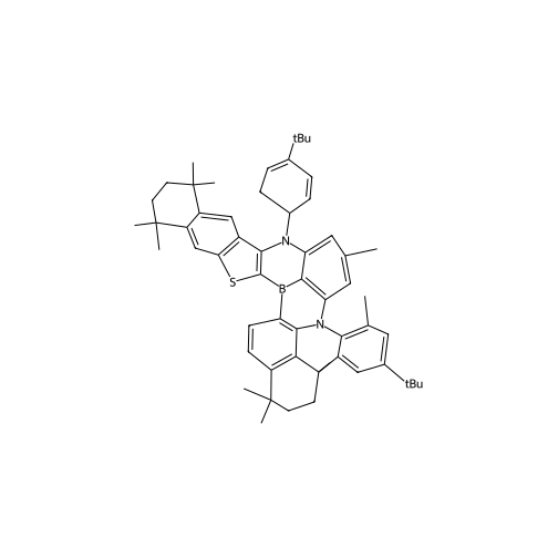 Cc1cc2c3c(c1)N(C1C=CC(C(C)(C)C)=CC1)c1c(sc4cc5c(cc14)C(C)(C)CCC5(C)C)B3c1ccc3c4c1N2c1c(C)cc(C(C)(C)C)cc1C4(C)CCC3(C)C